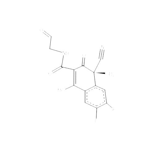 C[C@]1(C#N)C(=O)C(C(=O)NCC=O)=C(O)c2cc(F)c(F)cc21